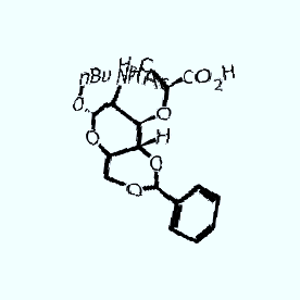 CCCCO[C@H]1OC2COC(c3ccccc3)O[C@H]2[C@H](O[C@@H](C)C(=O)O)C1NC(C)=O